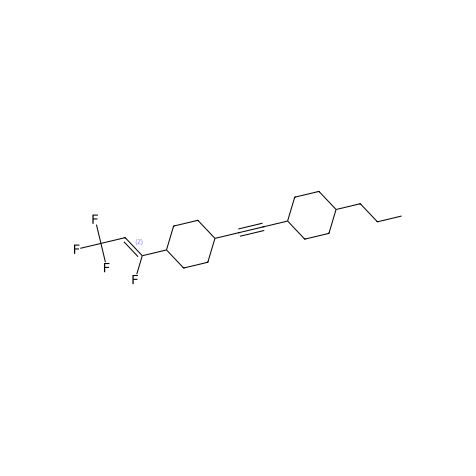 CCCC1CCC(C#CC2CCC(/C(F)=C/C(F)(F)F)CC2)CC1